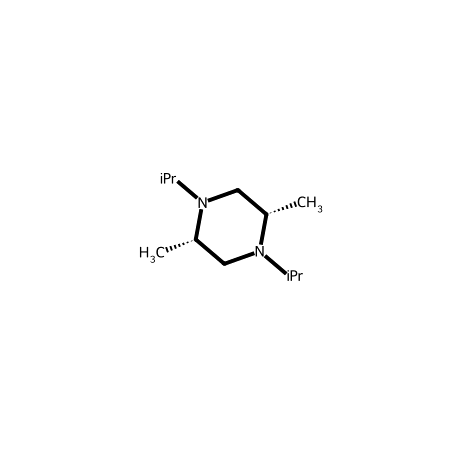 CC(C)N1C[C@H](C)N(C(C)C)C[C@@H]1C